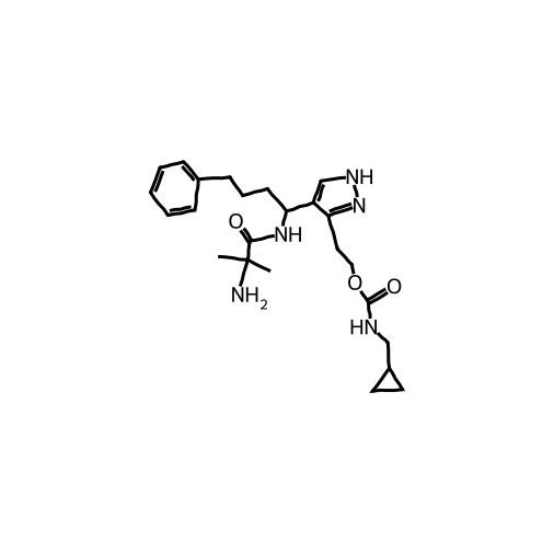 CC(C)(N)C(=O)NC(CCCc1ccccc1)c1c[nH]nc1CCOC(=O)NCC1CC1